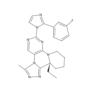 CC[C@]12CCCCN1c1nc(-n3ccnc3-c3cccc(F)c3)ncc1-n1c(C)nnc12